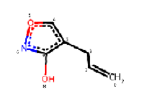 C=CCc1conc1O